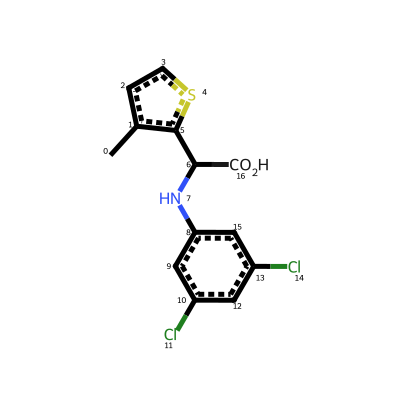 Cc1ccsc1C(Nc1cc(Cl)cc(Cl)c1)C(=O)O